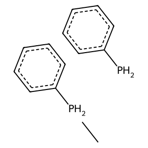 CC.Pc1ccccc1.Pc1ccccc1